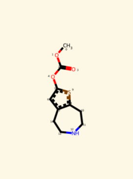 COC(=O)Oc1cc2c(s1)CCNCC2